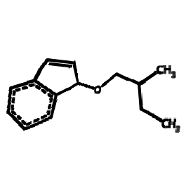 CCC(C)COC1C=Cc2ccccc21